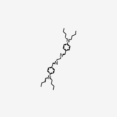 CCCCN(CCCC)c1ccc(C=NCCN=Cc2ccc(N(CCCC)CCCC)cc2)cc1